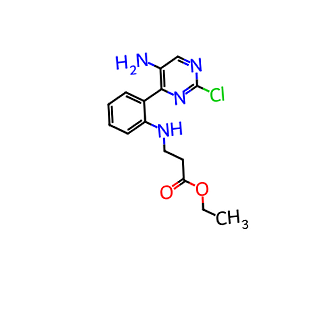 CCOC(=O)CCNc1ccccc1-c1nc(Cl)ncc1N